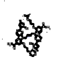 CCn1nc(C)cc1-c1ncc2c3cc(C(N)=O)cc(OCCCOC(F)F)c3n(C/C=C/Cn3c4nc(-c5cc(C)nn5CC)ncc4c4cc(C(N)=O)cc(OCCCN5CCOCC5)c43)c2n1